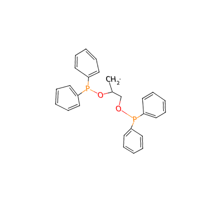 [CH2]C(COP(c1ccccc1)c1ccccc1)OP(c1ccccc1)c1ccccc1